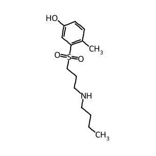 CCCCNCCCS(=O)(=O)c1cc(O)ccc1C